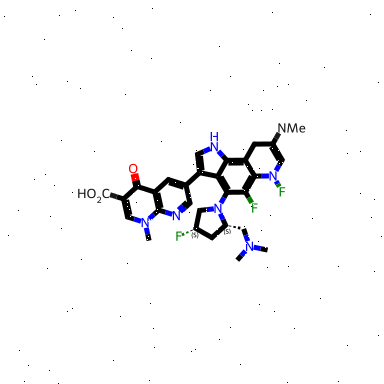 CNC1=CN(F)c2c(F)c(N3C[C@@H](F)C[C@H]3CN(C)C)c3c(-c4cnc5c(c4)c(=O)c(C(=O)O)cn5C)c[nH]c3c2C1